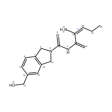 C=C(NC(=O)N1Cc2ccc(CO)cc2C1)/C(N)=C\CC